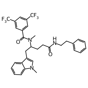 CN(C(=O)c1cc(C(F)(F)F)cc(C(F)(F)F)c1)C(CCC(=O)NCCc1ccccc1)Cc1cn(C)c2ccccc12